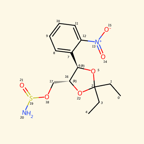 CCC1(CC)O[C@H](c2ccccc2[N+](=O)[O-])[C@@H](COS(N)=O)O1